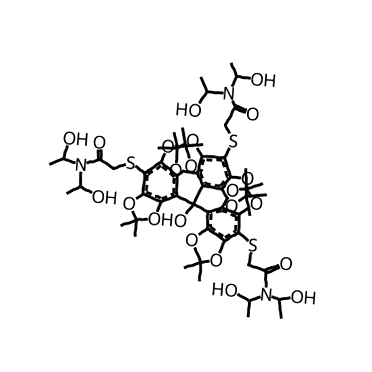 CC(O)N(C(=O)CSc1c2c(c(C(O)(c3c4c(c(SCC(=O)N(C(C)O)C(C)O)c5c3OC(C)(C)O5)OC(C)(C)O4)c3c4c(c(SCC(=O)N(C(C)O)C(C)O)c5c3OC(C)(C)O5)OC(C)(C)O4)c3c1OC(C)(C)O3)OC(C)(C)O2)C(C)O